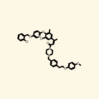 COc1ccc(OCCc2ccc(CN3CCN(C(=O)/C=C(/C)c4cc(C)c(Oc5ccc(OCc6ccccc6Cl)cn5)c(Cl)c4)CC3)cc2)cc1